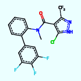 CN(C(=O)c1c(C(F)(F)F)n[nH]c1Cl)c1ccccc1-c1cc(F)c(F)c(F)c1